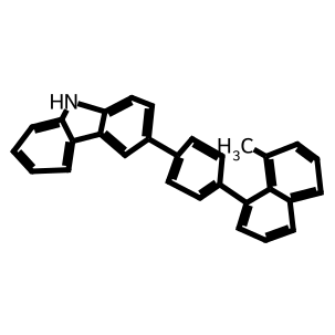 Cc1cccc2cccc(-c3ccc(-c4ccc5[nH]c6ccccc6c5c4)cc3)c12